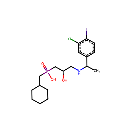 CC(NC[C@@H](O)CP(=O)(O)CC1CCCCC1)c1ccc(I)c(Cl)c1